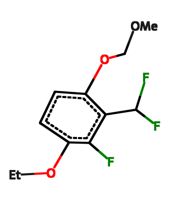 CCOc1ccc(OCOC)c(C(F)F)c1F